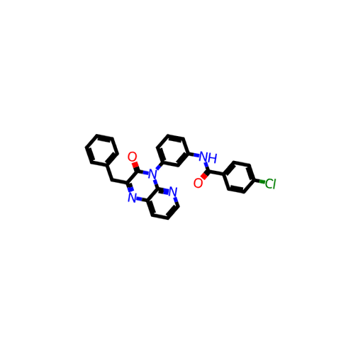 O=C(Nc1cccc(-n2c(=O)c(Cc3ccccc3)nc3cccnc32)c1)c1ccc(Cl)cc1